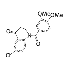 COc1ccc(C(=O)N2CCC(=O)c3cc(Cl)ccc32)cc1OC